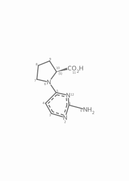 Nc1nccc(N2CCC[C@H]2C(=O)O)n1